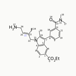 CCOC(=O)c1ccc2c(c1)c(-c1cccc(C(=O)N(C)C)c1)c(C)n2C/C(F)=C/CN